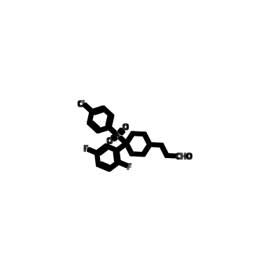 O=CCCC1CCC(c2cc(F)ccc2F)(S(=O)(=O)c2ccc(Cl)cc2)CC1